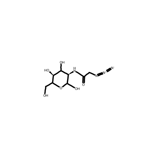 [N-]=[N+]=NCC(=O)N[C@H]1C(O)OC(CO)[C@@H](O)C1O